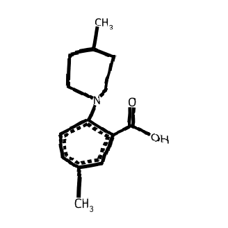 Cc1ccc(N2CCC(C)CC2)c(C(=O)O)c1